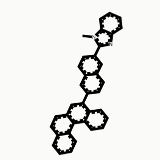 Cn1c(-c2ccc3cc(-c4cc5ccc6ccccc6c5c5ccccc45)ccc3c2)nc2ccccc21